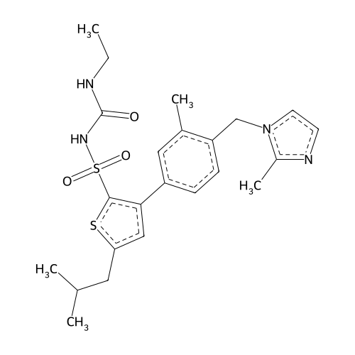 CCNC(=O)NS(=O)(=O)c1sc(CC(C)C)cc1-c1ccc(Cn2ccnc2C)c(C)c1